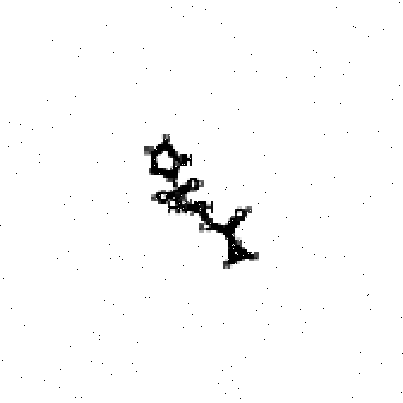 O=C(SBNS(=O)(=O)[C@@H]1CCCN1)C1CC1